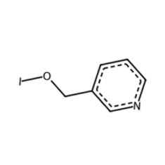 IOCc1cccnc1